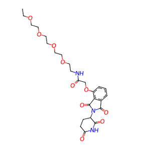 CCOCCOCCOCCOCCNC(=O)COc1cccc2c1C(=O)N(C1CCC(=O)NC1=O)C2=O